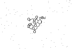 CCCCC1C=CC(CCCC(=O)OCC2CO2)C(C(=O)OCC2CO2)C1C(=O)OCC1CO1